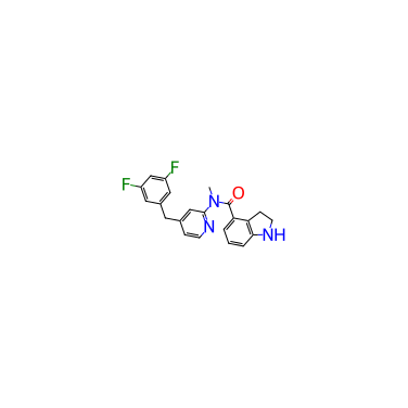 CN(C(=O)c1cccc2c1CCN2)c1cc(Cc2cc(F)cc(F)c2)ccn1